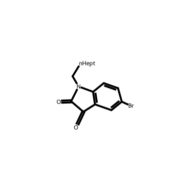 CCCCCCCCN1C(=O)C(=O)c2cc(Br)ccc21